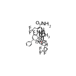 Cc1nc(C(N)=O)c(CC(F)(F)F)n1C1=CC=C(c2ccccc2)CC1(n1nncc1-c1ccc(OC(F)(F)F)cc1)S(C)(=O)=O